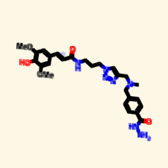 COc1cc(/C=C/C(=O)NCCCn2cc(CN(C)Cc3ccc(C(=O)NN)cc3)nn2)cc(OC)c1O